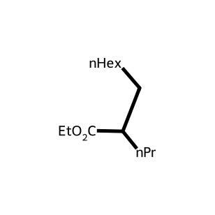 CCCCCCCC(CCC)C(=O)OCC